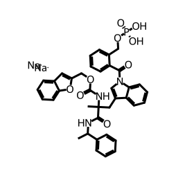 CC(NC(=O)C(C)(Cc1cn(C(=O)c2ccccc2COP(=O)(O)O)c2ccccc12)NC(=O)OCc1cc2ccccc2o1)c1ccccc1.[Na].[Na]